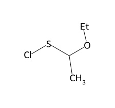 CCOC(C)SCl